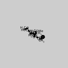 C=C(OC)C(C)(C)CC(C)(CC(C)(C)C(=O)OCCOC(=O)C(C)O)C(=O)OCCOP(C)(=O)Oc1ccccc1